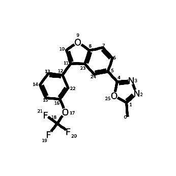 Cc1nnc(-c2ccc3occ(-c4cccc(OC(F)(F)F)c4)c3c2)o1